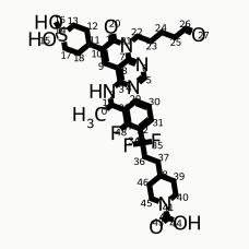 CC(Nc1ncnc2c1cc(C1CCS(O)(O)CC1)c(=O)n2CCCCC=O)c1cccc(C(F)(F)CCC2CCN(C(=O)O)CC2)c1F